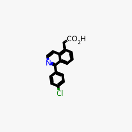 O=C(O)Cc1cccc2c(-c3ccc(Cl)cc3)nccc12